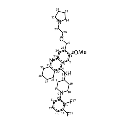 COc1cc2c(NC3CCN(c4cccc(F)c4F)CC3)c3c(nc2cc1COCCN1CCCC1)CCCC3